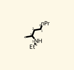 CCCCCC(C)NCC